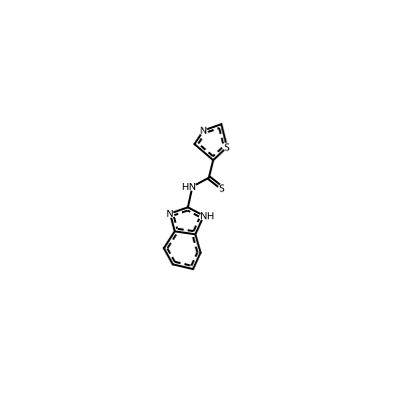 S=C(Nc1nc2ccccc2[nH]1)c1cncs1